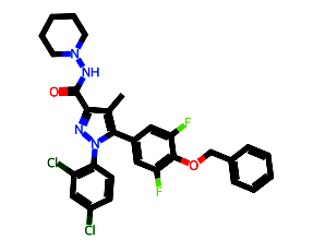 Cc1c(C(=O)NN2CCCCC2)nn(-c2ccc(Cl)cc2Cl)c1-c1cc(F)c(OCc2ccccc2)c(F)c1